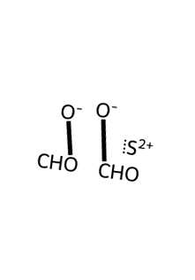 O=C[O-].O=C[O-].[S+2]